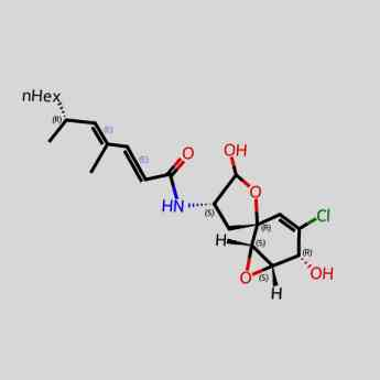 CCCCCC[C@@H](C)/C=C(C)/C=C/C(=O)N[C@H]1C[C@]2(C=C(Cl)[C@H](O)[C@@H]3O[C@@H]32)OC1O